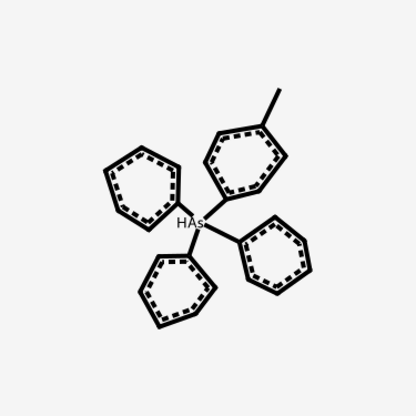 Cc1ccc([AsH](c2ccccc2)(c2ccccc2)c2ccccc2)cc1